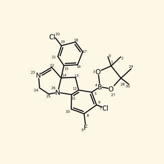 CC1(C)OB(c2c(Cl)c(F)cc3c2CC2(c4cccc(Cl)c4)C=NCCN32)OC1(C)C